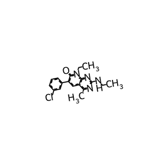 CCNc1nc(C)c2cc(-c3cccc(Cl)c3)c(=O)n(CC)c2n1